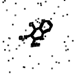 CSc1nc2cccnc2c(Cl)c1[N+](=O)[O-]